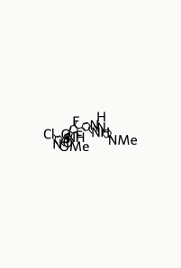 CN[C@H]1CC[C@H](NC2=Nc3ccc(-c4c(F)ccc(NS(=O)(=O)c5cc(Cl)cnc5OC)c4F)cc3CN2)CC1